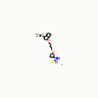 COc1ccc(OCCCCCOc2cccc(NC(N)=S)c2)c2ccccc12